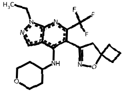 CCn1ncc2c(NC3CCOCC3)c(C3=NOC4(CCC4)C3)c(C(F)(F)F)nc21